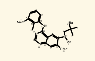 CCC(C)C(C)(C)CN(C(C)=O)c1cc2c(Nc3cccc(OC)c3C)ncnc2cc1OC